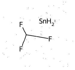 FC(F)F.[SnH2]